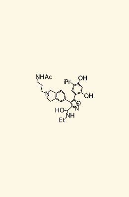 CCNC(O)c1noc(-c2cc(C(C)C)c(O)cc2O)c1-c1ccc2c(c1)CCN(CCCNC(C)=O)C2